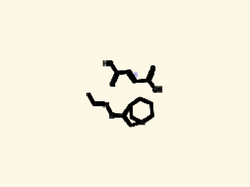 CC=NOC1CN2CCCC1C2.O=C(O)/C=C/C(=O)O